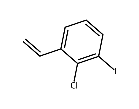 C=Cc1cccc(I)c1Cl